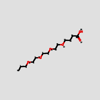 CCCOCCOCCOCCOCCCC(=O)O